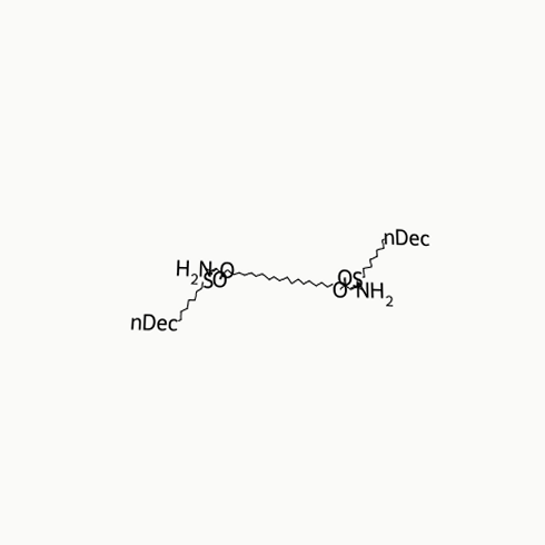 CCCCCCCCCCCCCCCCCCS/C(N)=C\C(=O)OCCCCCCCCCCCCCCCCCCOC(=O)/C=C(/N)SCCCCCCCCCCCCCCCCCC